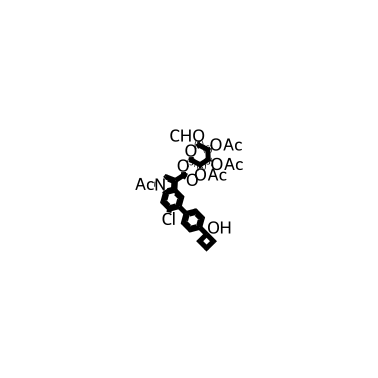 CC(=O)O[C@@H]1[C@@H](OC(C)=O)[C@H](OC(=O)c2cn(C(C)=O)c3cc(Cl)c(-c4ccc(C5(O)CCC5)cc4)cc23)O[C@H](C=O)[C@H]1OC(C)=O